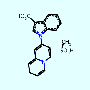 CS(=O)(=O)O.O=C(O)c1cn(C2=CC3=CCC=CN3C=C2)c2ccccc12